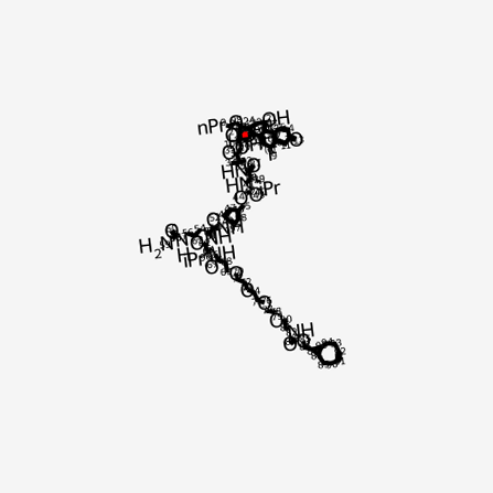 CCCC1O[C@@H]2C[C@H]3[C@@H]4C[C@H](F)C5=CC(=O)C=C[C@]5(C)[C@@]4(F)[C@@H](O)C[C@]3(C)[C@]2(C(=O)COC(=O)C(C)(C)NC(=O)[C@H](CC(C)C)NC(=O)OCc2ccc(NC(=O)[C@H](CCCNC(N)=O)NC(=O)[C@@H](NC(=O)CCOCCOCCOCCOCCNC(=O)OCC3C4CCC#CCCC43)C(C)C)cc2)O1